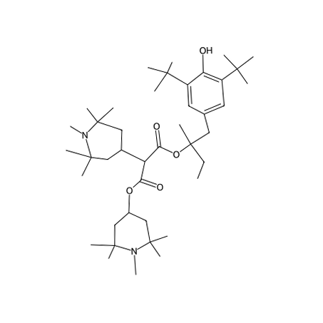 CCC(C)(Cc1cc(C(C)(C)C)c(O)c(C(C)(C)C)c1)OC(=O)C(C(=O)OC1CC(C)(C)N(C)C(C)(C)C1)C1CC(C)(C)N(C)C(C)(C)C1